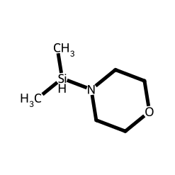 C[SiH](C)N1CCOCC1